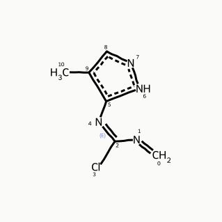 C=N/C(Cl)=N\c1[nH]ncc1C